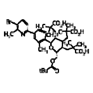 Cc1cc(-c2ccc(Br)c(C)n2)ccc1[C@@H]1O[C@@H](COC(=O)C(C)(C)C)[C@H](CC(C)(C)C(=O)O)[C@H](CC(C)(C)C(=O)O)[C@H]1CC(C)(C)C(=O)O